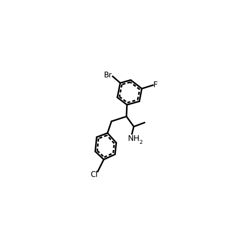 CC(N)C(Cc1ccc(Cl)cc1)c1cc(F)cc(Br)c1